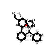 CCc1cccc(-c2ccccc2C(c2ccccc2)n2cncn2)c1